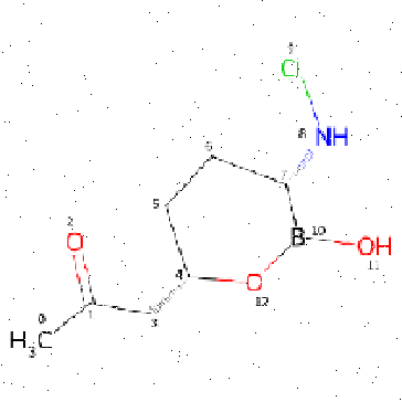 CC(=O)C[C@@H]1CC[C@H](NCl)B(O)O1